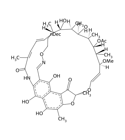 CCCCCCCCCCCCO/N=C/c1c2c(O)c3c(O)c(C)c4c(c3c1O)C(=O)[C@@](C)(O/C=C/[C@H](OC)[C@@H](C)[C@@H](OC(C)=O)[C@H](C)[C@H](O)[C@H](C)[C@@H](O)[C@@H](C)/C=C/C=C(/C)C(=O)N2)O4